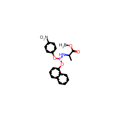 BOC(=O)C(C)NP(Oc1ccc([N+](=O)[O-])cc1)Oc1cccc2ccccc12